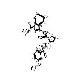 NC(=O)n1cc(NC(=O)N2C[C@H](F)C[C@H]2CNS(=O)(=O)c2cccc(OC(F)(F)F)c2)c2ccccc21